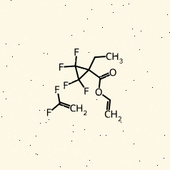 C=C(F)F.C=COC(=O)C1(CC)C(F)(F)C1(F)F